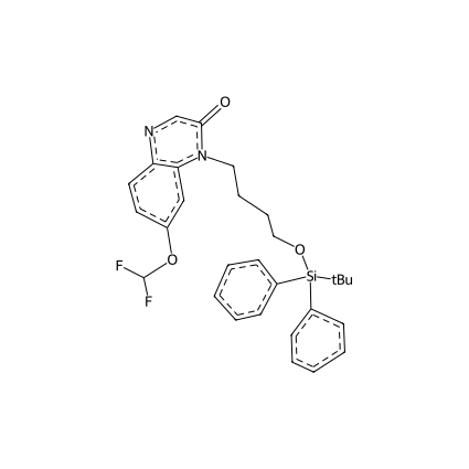 CC(C)(C)[Si](OCCCCn1c(=O)cnc2ccc(OC(F)F)cc21)(c1ccccc1)c1ccccc1